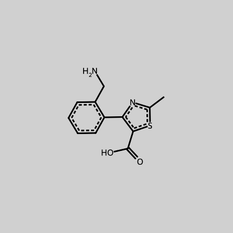 Cc1nc(-c2ccccc2CN)c(C(=O)O)s1